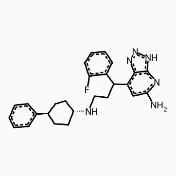 Nc1cc(C(CCN[C@H]2CC[C@H](c3ccccc3)CC2)c2ccccc2F)c2nn[nH]c2n1